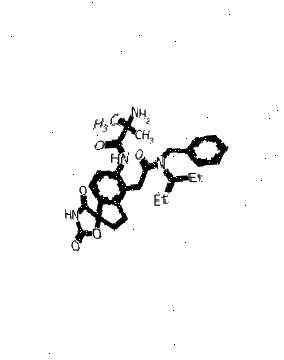 CCC(CC)N(Cc1ccccc1)C(=O)Cc1c(NC(=O)C(C)(C)N)ccc2c1CCC21OC(=O)NC1=O